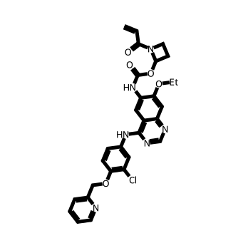 C=CC(=O)N1CCC1OC(=O)Nc1cc2c(Nc3ccc(OCc4ccccn4)c(Cl)c3)ncnc2cc1OCC